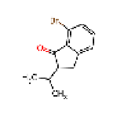 CC(C)C1Cc2cccc(Br)c2C1=O